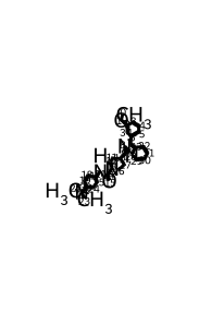 COc1cccc(-c2nc(C3CCN(C(=O)Nc4ccc(N(C)C)cc4)CC3)n3ccccc23)c1